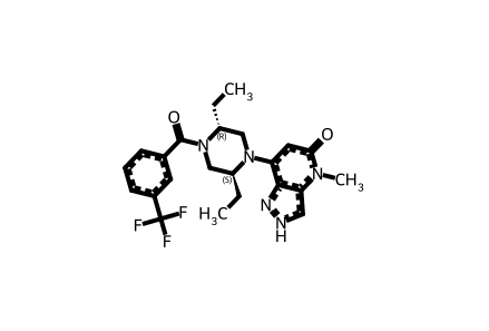 CC[C@@H]1CN(c2cc(=O)n(C)c3c[nH]nc23)[C@@H](CC)CN1C(=O)c1cccc(C(F)(F)F)c1